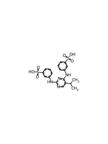 CC(C)c1cnc(Nc2cccc(S(=O)(=O)O)c2)nc1Nc1cccc(S(=O)(=O)O)c1